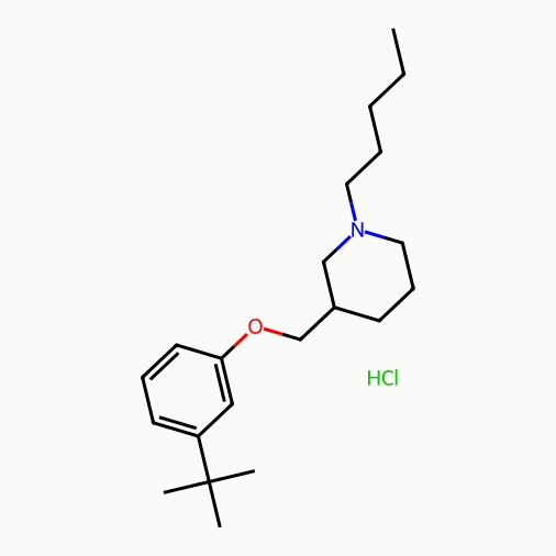 CCCCCN1CCCC(COc2cccc(C(C)(C)C)c2)C1.Cl